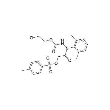 Cc1ccc(S(=O)(=O)OCC(=O)N(NC(=O)OCCCl)c2c(C)cccc2C)cc1